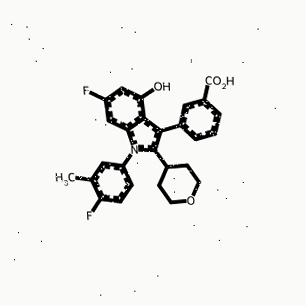 Cc1cc(-n2c(C3CCOCC3)c(-c3cccc(C(=O)O)c3)c3c(O)cc(F)cc32)ccc1F